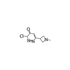 CN1CC(C2=CC(=O)C(Cl)N=N2)C1